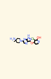 CC1(N)CCN(c2cnc3c(Oc4ccnc(O)c4Cl)n[nH]c3n2)CC1